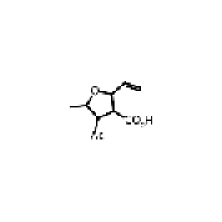 C=CC1OC(C)C(C(C)=O)C1C(=O)O